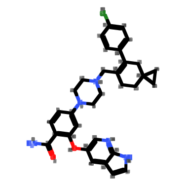 NC(=O)c1ccc(N2CCN(CC3=C(c4ccc(Cl)cc4)CC4(CC3)CC4)CC2)cc1Oc1cnc2[nH]ccc2c1